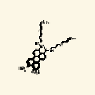 CCCCCCCCCCCCOCCCNC(=O)c1ccc2c3ccc(C(=O)O)c4c(C(=O)O)ccc(c5ccc(C(=O)NCCCOCCCCCCCCCCCC)c1c25)c43